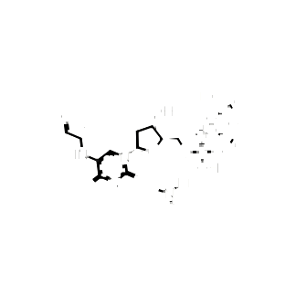 C=CCNc1cn([C@H]2C[C@H](O)[C@@H](COP(=O)(O)OP(=O)(O)OP(=O)(O)O)O2)c(=O)[nH]c1=O.CCN(CC)CC